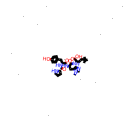 Cn1cncc1CC(NC(=O)C(Cc1ccc(O)cc1)NC(=O)[C@@H]1CCCN1)C(=O)NC(CCC(C)(C)C)C(=O)O